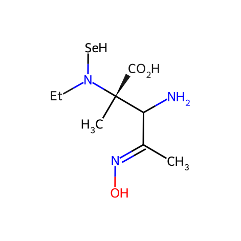 CCN([SeH])[C@](C)(C(=O)O)C(N)C(C)=NO